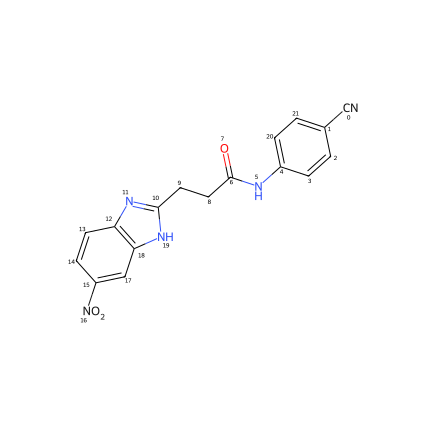 N#Cc1ccc(NC(=O)CCc2nc3ccc([N+](=O)[O-])cc3[nH]2)cc1